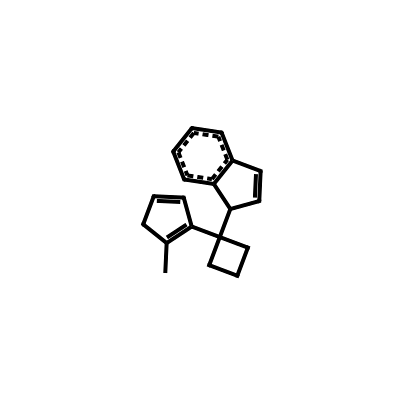 CC1=C(C2(C3C=Cc4ccccc43)CCC2)C=CC1